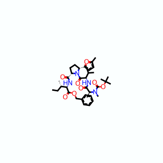 CC[C@H](C)[C@H](NC(=O)[C@@H]1CC[C@H](c2ccc(C)o2)N1C(=O)[C@@H](NC(=O)[C@H](C)N(C)C(=O)OC(C)(C)C)C(C)C)C(=O)OCc1ccccc1